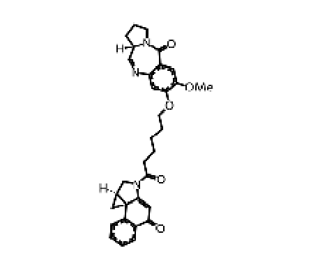 COc1cc2c(cc1OCCCCCC(=O)N1C[C@@H]3C[C@]34C1=CC(=O)c1ccccc14)N=C[C@@H]1CCCN1C2=O